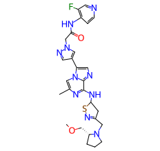 COC[C@H]1CCCN1CC1=NSC(Nc2nc(C)cn3c(-c4cnn(CC(=O)Nc5ccncc5F)c4)cnc23)C1